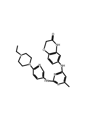 CCN1CCN(c2ccc(Nc3nc(C)cc(Nc4ccc5c(c4)NC(=O)CO5)n3)cn2)CC1